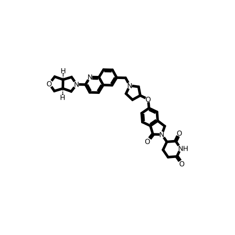 O=C1CCC(N2Cc3cc(OC4CCN(Cc5ccc6nc(N7C[C@H]8COC[C@H]8C7)ccc6c5)C4)ccc3C2=O)C(=O)N1